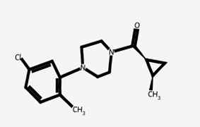 Cc1ccc(Cl)cc1N1CCN(C(=O)[C@H]2C[C@H]2C)CC1